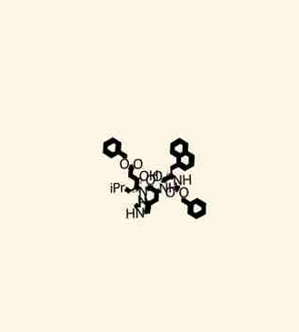 CC(C)C[C@H](NC(=O)C(Cc1c[nH]cn1)NC(=O)[C@@H](Cc1cccc2ccccc12)NC(=O)OCc1ccccc1)[C@@H](O)CC(=O)OCc1ccccc1